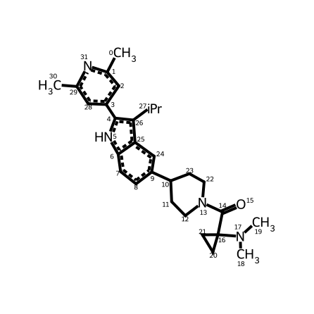 Cc1cc(-c2[nH]c3ccc(C4CCN(C(=O)C5(N(C)C)CC5)CC4)cc3c2C(C)C)cc(C)n1